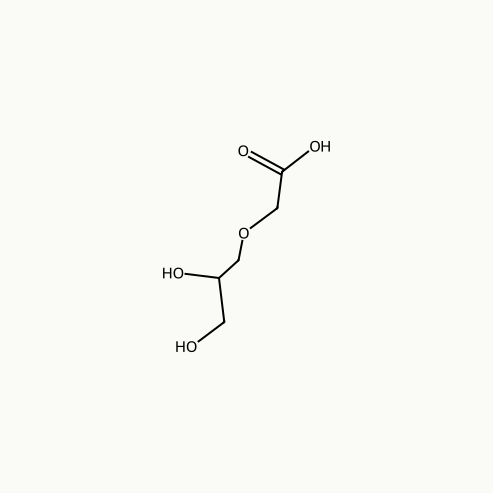 O=C(O)COCC(O)CO